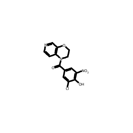 O=C(c1cc(Cl)c(O)c([N+](=O)[O-])c1)N1CCOc2cnccc21